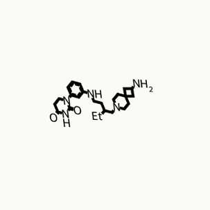 CCC(CCNc1cccc(N2CCC(=O)NC2=O)c1)CN1CCC2(CC1)CC(N)C2